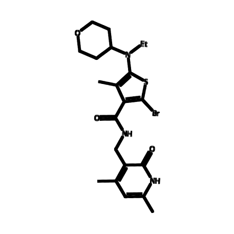 CCN(c1sc(Br)c(C(=O)NCc2c(C)cc(C)[nH]c2=O)c1C)C1CCOCC1